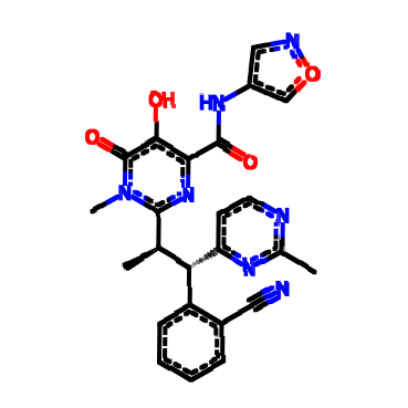 Cc1nccc([C@H](c2ccccc2C#N)[C@@H](C)c2nc(C(=O)Nc3cnoc3)c(O)c(=O)n2C)n1